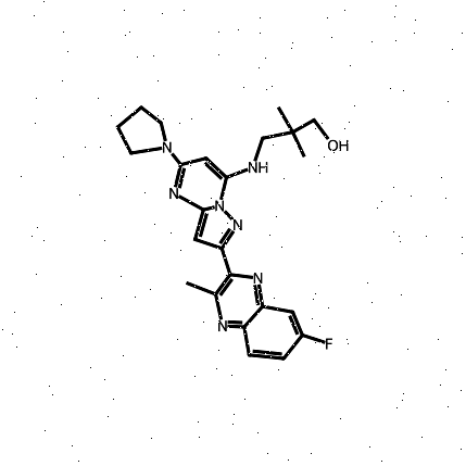 Cc1nc2ccc(F)cc2nc1-c1cc2nc(N3CCCC3)cc(NCC(C)(C)CO)n2n1